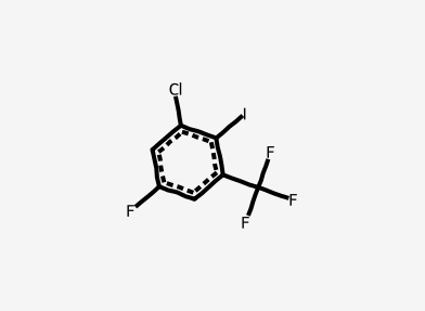 Fc1cc(Cl)c(I)c(C(F)(F)F)c1